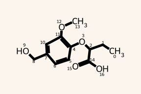 CCC(Oc1ccc(CO)cc1OC)C(=O)O